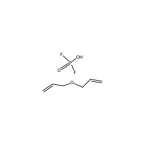 C=CCOCC=C.O=P(O)(F)F